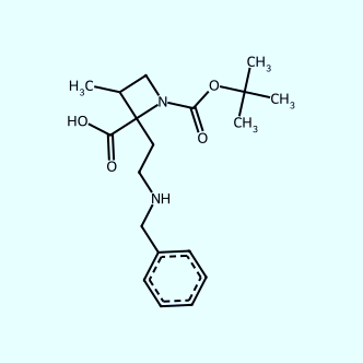 CC1CN(C(=O)OC(C)(C)C)C1(CCNCc1ccccc1)C(=O)O